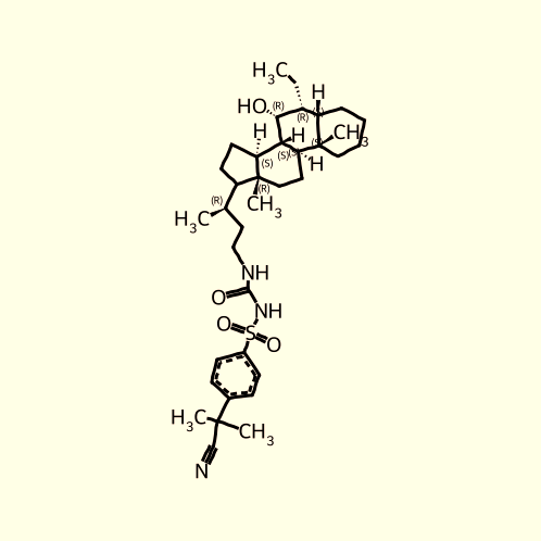 CC[C@H]1[C@@H](O)[C@@H]2[C@H](CC[C@]3(C)C([C@H](C)CCNC(=O)NS(=O)(=O)c4ccc(C(C)(C)C#N)cc4)CC[C@@H]23)[C@@]2(C)CCCC[C@@H]12